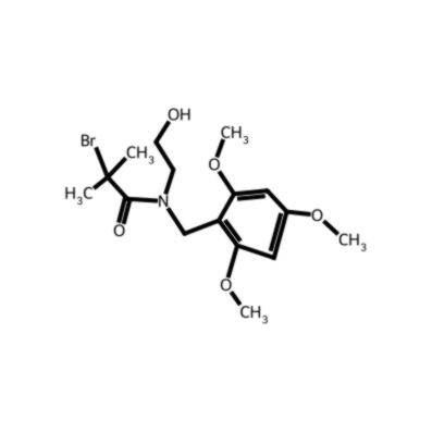 COc1cc(OC)c(CN(CCO)C(=O)C(C)(C)Br)c(OC)c1